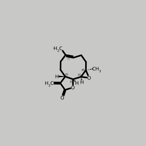 [CH2]/C1=C\CC[C@@]2(C)O[C@H]2[C@H]2OC(=O)C(=C)[C@@H]2CC1